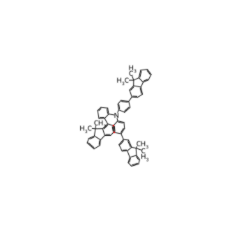 CC1(C)c2ccccc2-c2ccc(-c3ccc(N(c4ccc(-c5ccc6c(c5)C(C)(C)c5ccccc5-6)cc4)c4ccccc4-c4cccc5c4C(C)(C)c4ccccc4-5)cc3)cc21